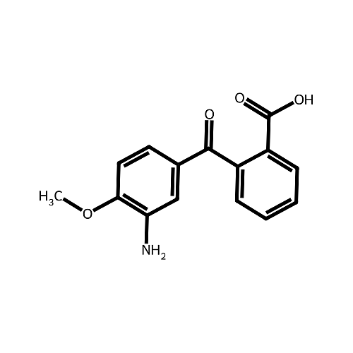 COc1ccc(C(=O)c2ccccc2C(=O)O)cc1N